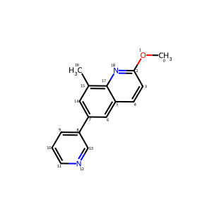 COc1ccc2cc(-c3cccnc3)cc(C)c2n1